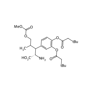 COC(=O)OCC(C)C(c1ccc(OC(=O)CC(C)(C)C)c(OC(=O)CC(C)(C)C)c1)[C@H](N)C(=O)O